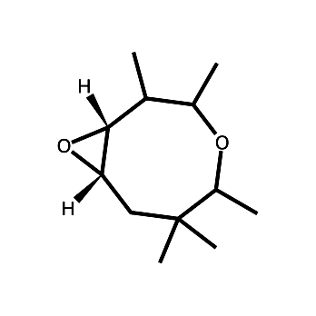 CC1OC(C)C(C)(C)C[C@@H]2O[C@@H]2C1C